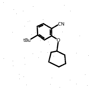 CC(C)(C)c1ccc(C#N)c(OC2CCCCC2)c1